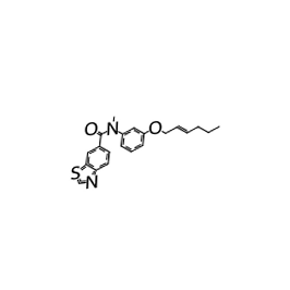 CCCC=CCOc1cccc(N(C)C(=O)c2ccc3ncsc3c2)c1